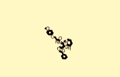 COc1ccc(OCCC(=O)N[C@H](CN2CCCCC2)[C@@H](O)C2=COC=C(C3=CC=CCC3)O2)cc1